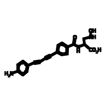 Nc1ccc(C#CC#Cc2ccc(C(=O)NC(CNO)C(=O)O)cc2)cc1